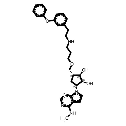 CNc1ncnc2c1ccn2[C@@H]1C[C@H](COCCCNCCc2cccc(Oc3ccccc3)c2)[C@@H](O)[C@H]1O